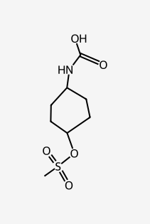 CS(=O)(=O)OC1CCC(NC(=O)O)CC1